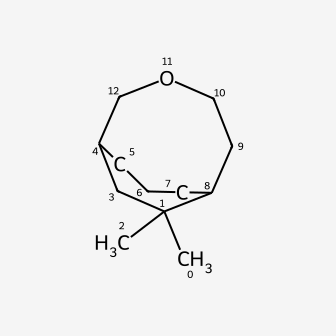 CC1(C)CC2CCCC1CCOC2